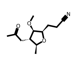 CO[C@@H]1[C@@H](CC(C)=O)[C@H](C)O[C@@H]1CCC#N